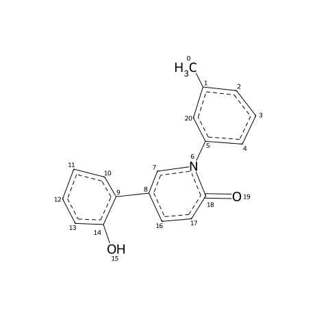 Cc1cccc(-n2cc(-c3ccccc3O)ccc2=O)c1